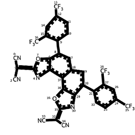 N#CC(C#N)=c1nc2c(o1)c(-c1ccc(C(F)(F)F)cc1C(F)(F)F)cc1cc(-c3ccc(C(F)(F)F)cc3C(F)(F)F)c3nc(=C(C#N)C#N)oc3c12